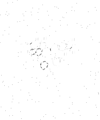 C[C@@H]1COCCN1C[C@H]1CN(C(=O)O)[C@H](C)CN1CC(=O)N1CC(C)(C)c2c1cc(Cc1ccc(F)cc1)c1nnc(C(N)=O)n21